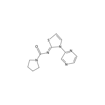 O=C(/N=c1\sccn1-c1cnccn1)N1CCCC1